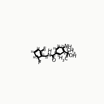 CC(C)(O)c1cc(C(=O)NCc2c(F)cccc2F)ccc1N